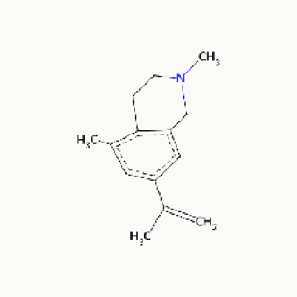 C=C(C)c1cc(C)c2c(c1)CN(C)CC2